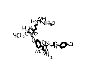 CC(C)[C@H](C(=O)O)N(CCOc1ccc(-c2c(C#N)c(N)nc(SCc3csc(-c4ccc(Cl)cc4)n3)c2C#N)cc1)C(=O)[C@@H](N)CCCNC(=N)N.Cl.Cl